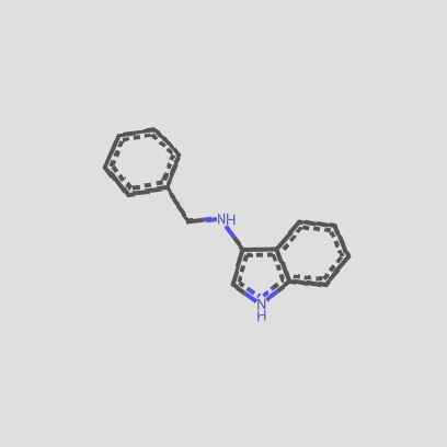 c1ccc(CNc2c[nH]c3ccccc23)cc1